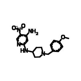 COc1ccc(CN2CCC(Nc3cc(N)c([N+](=O)[O-])cn3)CC2)cc1